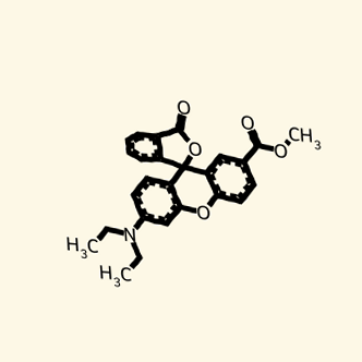 CCN(CC)c1ccc2c(c1)Oc1ccc(C(=O)OC)cc1C21OC(=O)c2ccccc21